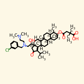 CC(C)C1=C2[C@H]3CC[C@@H]4[C@@]5(C)CC[C@H](OC(=O)CC(C)(C)C(=O)O)[C@H](C)[C@@H]5CC[C@@]4(C)[C@]3(C)CC[C@@]2([C@@H](O)CN(CCN(C)C)Cc2cccc(Cl)c2)CC1=O